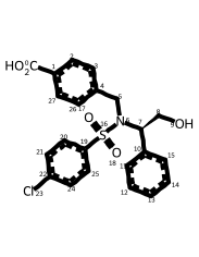 O=C(O)c1ccc(CN([C@@H](CO)c2ccccc2)S(=O)(=O)c2ccc(Cl)cc2)cc1